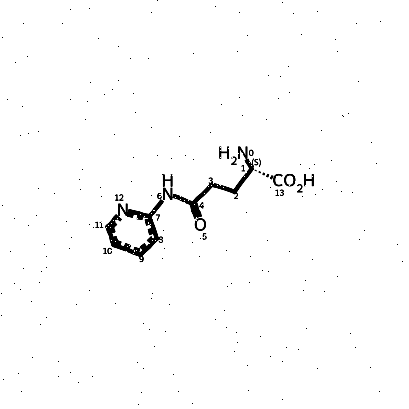 N[C@@H](CCC(=O)Nc1ccccn1)C(=O)O